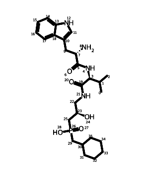 CC(C)[C@H](NC(=O)[C@@H](N)Cc1c[nH]c2ccccc12)C(=O)NC[C@@H](O)CP(=O)(O)CC1CCCCC1